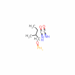 CCC(C)C.N=C=O.N=C=O.O=[PH3]